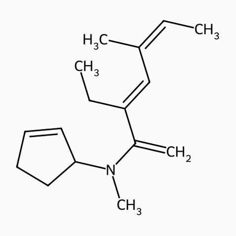 C=C(/C(=C/C(C)=C\C)CC)N(C)C1C=CCC1